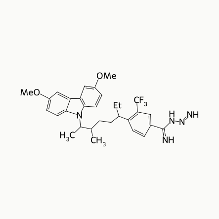 CCC(CCC(C)C(C)n1c2ccc(OC)cc2c2cc(OC)ccc21)c1ccc(C(=N)NN=N)cc1C(F)(F)F